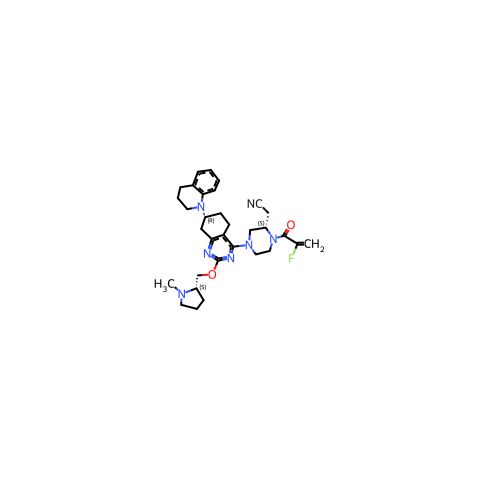 C=C(F)C(=O)N1CCN(c2nc(OC[C@@H]3CCCN3C)nc3c2CC[C@@H](N2CCCc4ccccc42)C3)C[C@@H]1CC#N